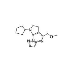 COCc1nc2ccnn2c2c1CCN2C1CCCC1